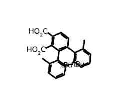 Cc1cccc(C(C)(C)C)c1-c1ccc(C(=O)O)c(C(=O)O)c1-c1c(C)cccc1C(C)(C)C